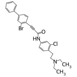 CCN(CC)CCc1ccc(NC(=O)C#Cc2ccc(-c3ccccc3)cc2Br)cc1Cl